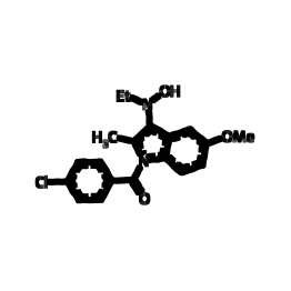 CCN(O)c1c(C)n(C(=O)c2ccc(Cl)cc2)c2ccc(OC)cc12